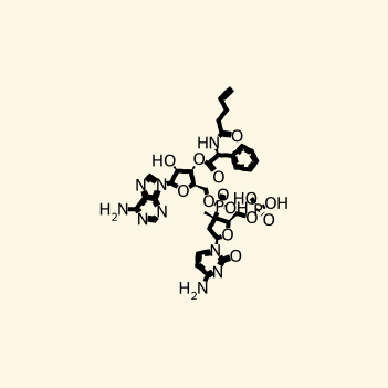 C=CCCC(=O)N[C@H](C(=O)O[C@@H]1[C@@H](COP(=O)(O)[C@@]2(C)C[C@H](n3ccc(N)nc3=O)O[C@@H]2COP(=O)(O)O)OC(n2cnc3c(N)ncnc32)[C@@H]1O)c1ccccc1